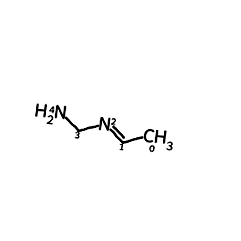 CC=NCN